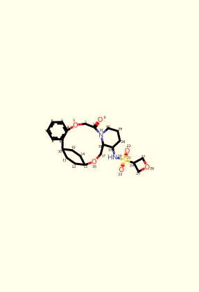 O=C1COc2ccccc2C2CCC(CC2)OCC2C(NS(=O)(=O)C3COC3)CCCN12